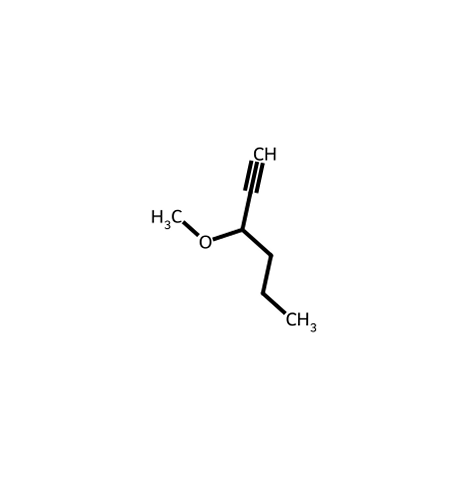 C#CC(CCC)OC